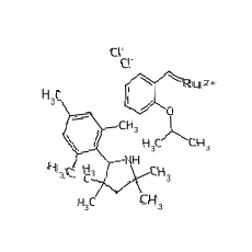 CC(C)Oc1ccccc1[CH]=[Ru+2].Cc1cc(C)c(C2NC(C)(C)CC2(C)C)c(C)c1.[Cl-].[Cl-]